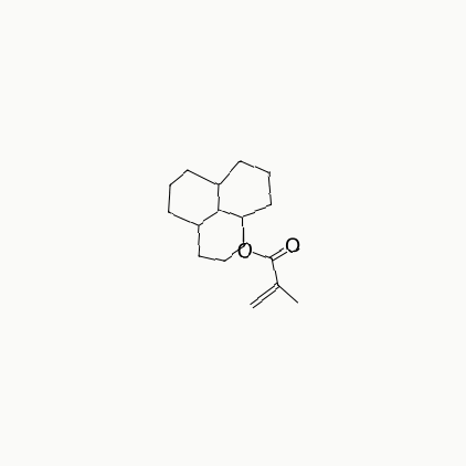 C=C(C)C(=O)OC12CCCC3CCCC(CCC1)C32